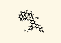 COc1cc(N2CCN(C(N)=O)CC2)c(-c2cnn(C)c2)cc1Nc1ncc(Br)c(Nc2ccc3nccnc3c2OP(C)C)n1